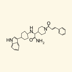 NC(=O)C(NC1CCC(c2c[nH]c3ccccc23)CC1)C1CCN(C(=O)C=Cc2ccccc2)CC1